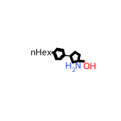 CCCCCCc1ccc([C@H]2CC[C@](N)(CO)C2)cc1